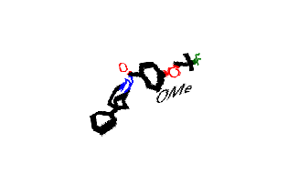 COc1cc(C(=O)N2CCC3(c4ccccc4)CC2C3)ccc1OCC(C)(C)F